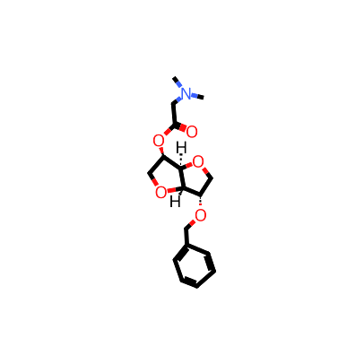 CN(C)CC(=O)O[C@@H]1CO[C@H]2[C@@H]1OC[C@@H]2OCc1ccccc1